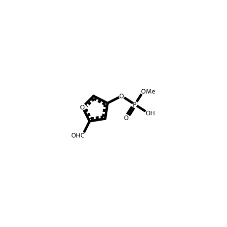 COP(=O)(O)Oc1coc(C=O)c1